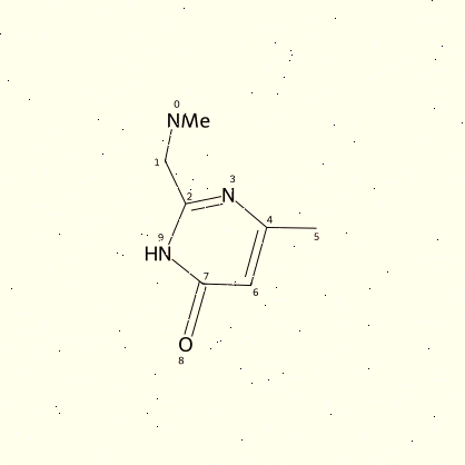 CNCc1nc(C)cc(=O)[nH]1